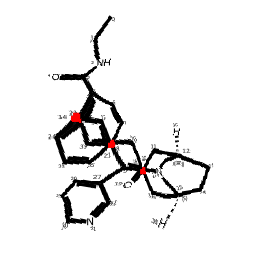 CCNC(=O)c1ccc(C(=C2C[C@H]3CC[C@@H](C2)N3C(=O)Cc2ccccc2)c2cccnc2)cc1